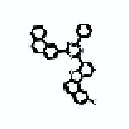 Clc1ccc2ccc3oc4c(-c5nc(-c6ccccc6)nc(-c6ccc7ccc8ccccc8c7c6)n5)cccc4c3c2c1